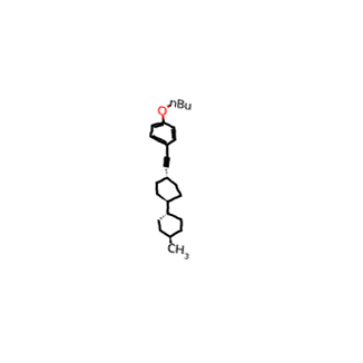 CCCCOc1ccc(C#C[C@H]2CC[C@H]([C@H]3CC[C@H](C)CC3)CC2)cc1